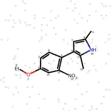 CCOc1ccc(-c2cc(C)[nH]c2C)c([N+](=O)[O-])c1